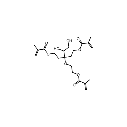 C=C(C)C(=O)OCCOC(CCOC(=O)C(=C)C)(CCOC(=O)C(=C)C)C(O)CO